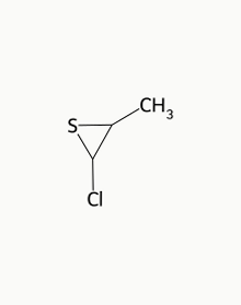 CC1SC1Cl